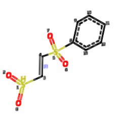 O=[SH](=O)/C=C/S(=O)(=O)c1ccccc1